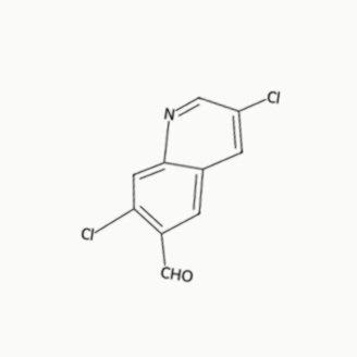 O=Cc1cc2cc(Cl)cnc2cc1Cl